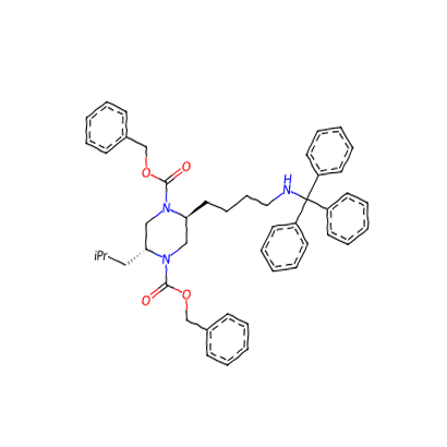 CC(C)C[C@@H]1CN(C(=O)OCc2ccccc2)[C@@H](CCCCNC(c2ccccc2)(c2ccccc2)c2ccccc2)CN1C(=O)OCc1ccccc1